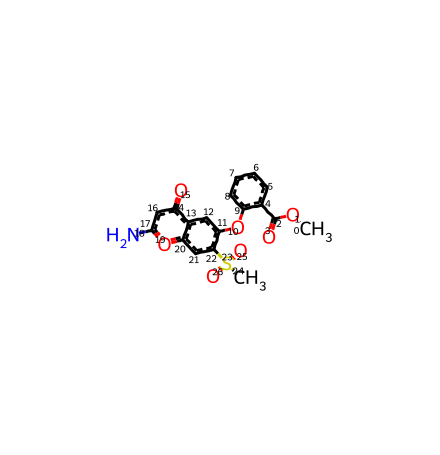 COC(=O)c1ccccc1Oc1cc2c(=O)cc(N)oc2cc1S(C)(=O)=O